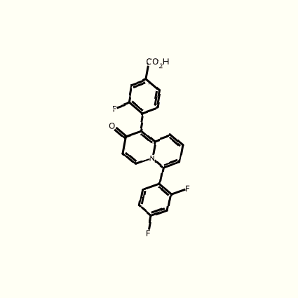 O=C(O)c1ccc(-c2c(=O)ccn3c(-c4ccc(F)cc4F)cccc23)c(F)c1